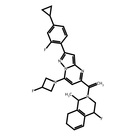 C=C(c1cc(N2CC(F)C2)n2nc(-c3ccc(C4CC4)cc3F)cc2n1)N1CC(F)C2=C(CCC=C2)C1C